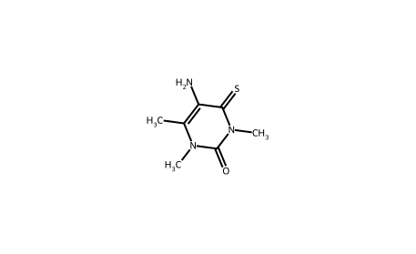 Cc1c(N)c(=S)n(C)c(=O)n1C